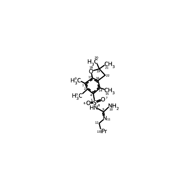 Cc1c(C)c(S(=O)(=O)N/C(N)=N\CC(C)C)c(C)c2c1OC(C)(C)C2